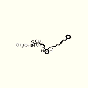 CN(O)C(=O)C(C)(C)CC/C=C\C[C@H]1[C@@H](CSCCCCC#CCCc2ccccc2)[C@H]2CC[C@@H]1O2